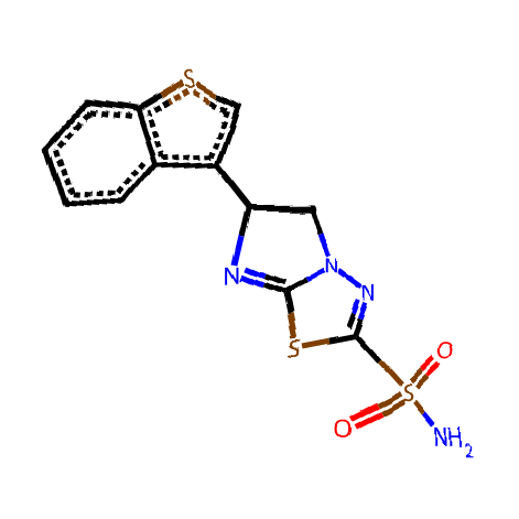 NS(=O)(=O)C1=NN2CC(c3csc4ccccc34)N=C2S1